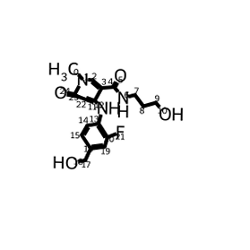 Cn1cc(C(=O)NCCCO)c(Nc2ccc(CO)cc2F)cc1=O